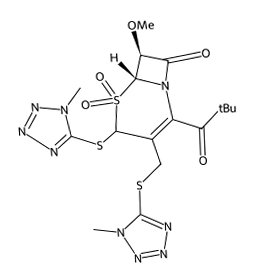 CO[C@H]1C(=O)N2C(C(=O)C(C)(C)C)=C(CSc3nnnn3C)C(Sc3nnnn3C)S(=O)(=O)[C@H]12